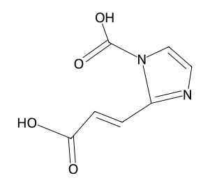 O=C(O)C=Cc1nccn1C(=O)O